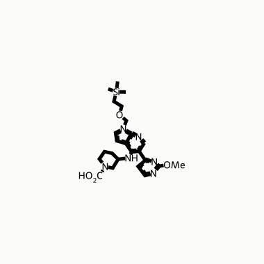 COc1nccc(-c2cnc3c(ccn3COCC[Si](C)(C)C)c2NC2CCCN(C(=O)O)C2)n1